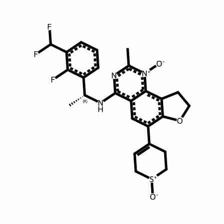 Cc1nc(N[C@H](C)c2cccc(C(F)F)c2F)c2cc(C3=CC[S+]([O-])CC3)c3c(c2[n+]1[O-])CCO3